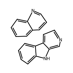 c1ccc2c(c1)[nH]c1cnccc12.c1ccc2ncccc2c1